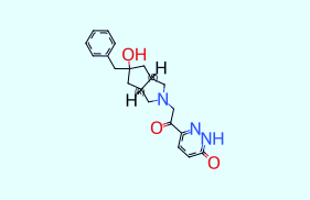 O=C(CN1C[C@@H]2CC(O)(Cc3ccccc3)C[C@@H]2C1)c1ccc(=O)[nH]n1